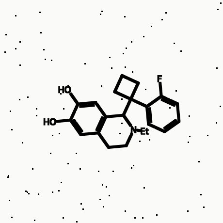 CCN1CCc2cc(O)c(O)cc2C1C1(c2ccccc2F)CCC1